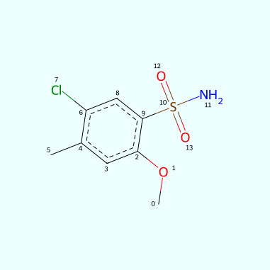 COc1cc(C)c(Cl)cc1S(N)(=O)=O